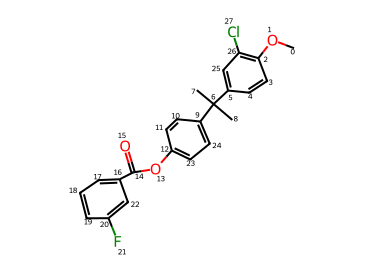 COc1ccc(C(C)(C)c2ccc(OC(=O)c3cccc(F)c3)cc2)cc1Cl